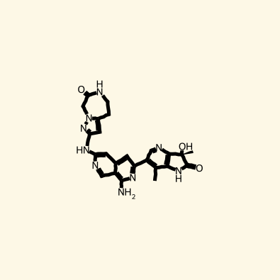 Cc1c(-c2cc3cc(Nc4cc5n(n4)CC(=O)NCC5)ncc3c(N)n2)cnc2c1NC(=O)[C@@]2(C)O